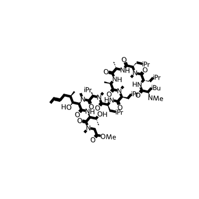 C/C=C/C[C@@H](C)[C@@H](O)[C@@H](C(=O)N[C@H](C(=O)N(C)CC(=O)OC)[C@@H](C)O)N(C)C(=O)[C@H](C(C)C)N(C)C(=O)[C@H](CC(C)C)NC(=O)[C@H](CC(C)C)N(C)C(=O)[C@@H](C)NC(=O)[C@H](C)NC(=O)[C@H](CC(C)C)N(C)C(=O)[C@H](CC(C)C)NC(=O)[C@@H](NC)C(C)CC